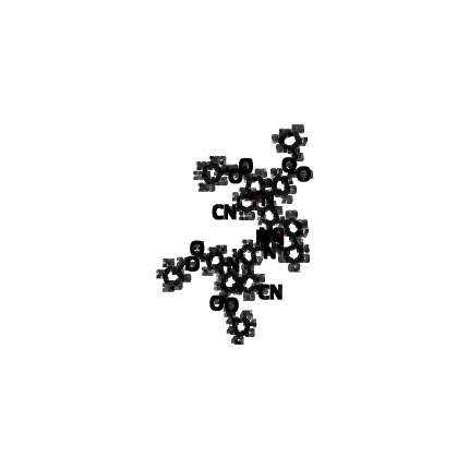 [C-]#[N+]c1cccc(-c2cc(-c3nc(-c4ccc(-n5c6ccc(C(=O)OCc7ccccc7)cc6c6cc(C(=O)OCc7ccccc7)ccc65)c(-c5cccc(C#N)c5)c4)nc(-c4ccccc4-c4ccccc4C#N)n3)ccc2-n2c3ccc(C(=O)OCc4ccccc4)cc3c3cc(C(=O)OCc4ccccc4)ccc32)c1